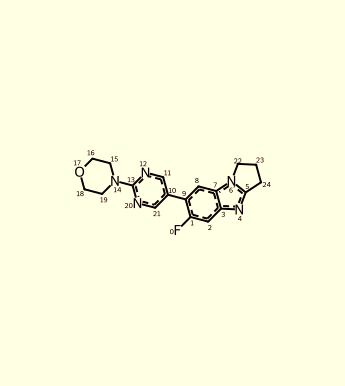 Fc1cc2nc3n(c2cc1-c1cnc(N2CCOCC2)nc1)CCC3